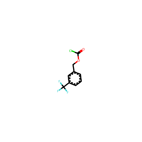 O=C(Cl)OCc1cccc(C(F)(F)F)c1